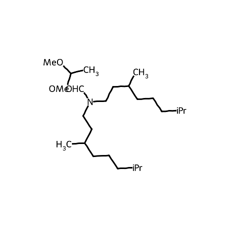 CC(C)CCCC(C)CCN(C=O)CCC(C)CCCC(C)C.COC(C)OC